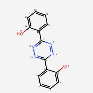 Oc1ccccc1-c1nnc(-c2ccccc2O)nn1